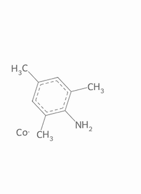 Cc1cc(C)c(N)c(C)c1.[Co]